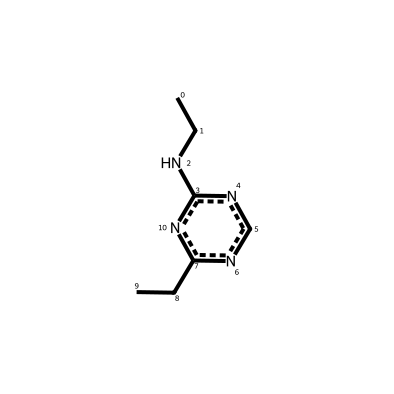 CCNc1ncnc(CC)n1